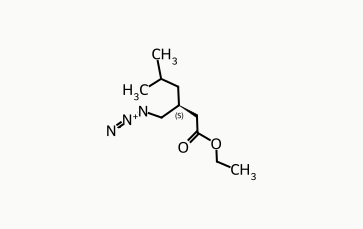 CCOC(=O)C[C@@H](CN=[N+]=[N-])CC(C)C